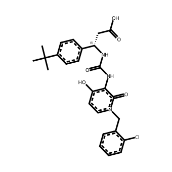 CC(C)(C)c1ccc([C@H](CC(=O)O)NC(=O)Nc2c(O)ccn(Cc3ccccc3Cl)c2=O)cc1